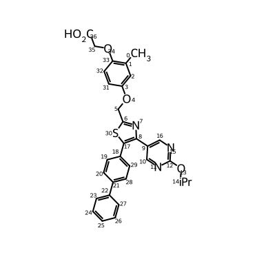 Cc1cc(OCc2nc(-c3cnc(OC(C)C)nc3)c(-c3ccc(-c4ccccc4)cc3)s2)ccc1OCC(=O)O